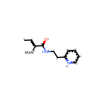 C/C=C(\NC)C(=O)NCCc1ccccn1